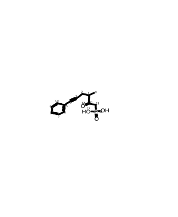 CC(CC#Cc1ccccc1)C(=O)CP(=O)(O)O